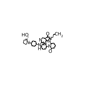 C=CCn1c(=O)c2cnc(Nc3ccc(N4CCC[C@@H]4CO)cc3)nc2n1-c1cccc(=O)n1-c1ccccn1